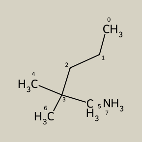 CCCC(C)(C)C.N